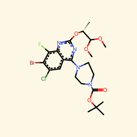 COC(OC)[C@@H](C)Oc1nc(N2CCN(C(=O)OC(C)(C)C)CC2)c2cc(Cl)c(Br)c(F)c2n1